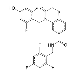 O=C(NCc1c(F)cc(F)cc1F)c1ccc2c(c1)N(Cc1c(F)cc(O)cc1F)C(=O)CS2